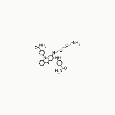 NCCOCCOCC/N=c1/cc2n(-c3ccc(C(N)=O)cc3)c3ccccc3nc-2cc1Nc1ccc(C(N)=O)cc1